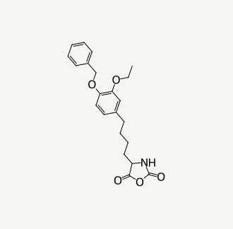 CCOc1cc(CCCCC2NC(=O)OC2=O)ccc1OCc1ccccc1